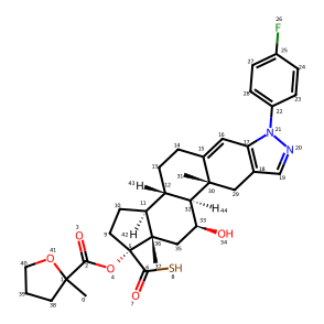 CC1(C(=O)O[C@]2(C(=O)S)CC[C@H]3[C@@H]4CCC5=Cc6c(cnn6-c6ccc(F)cc6)C[C@]5(C)[C@H]4[C@@H](O)C[C@@]32C)CCCO1